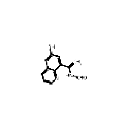 C=C(NC=O)c1cc(O)cc2cccnc12